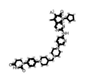 CC(=O)c1c(C)c2cnc(Nc3ccc(N4CCN(CC5CCN(c6ccc(N7CCC(=O)NC7=O)cc6)CC5)CC4)cn3)nc2n(C2CCCC2)c1=O